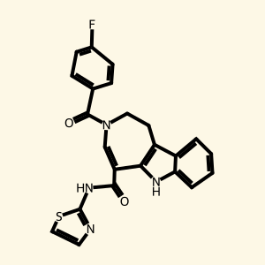 O=C(Nc1nccs1)C1=CN(C(=O)c2ccc(F)cc2)CCc2c1[nH]c1ccccc21